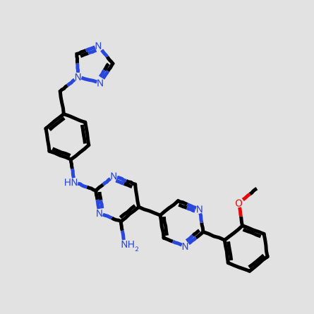 COc1ccccc1-c1ncc(-c2cnc(Nc3ccc(Cn4cncn4)cc3)nc2N)cn1